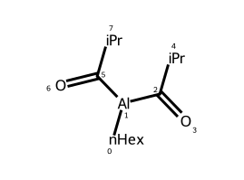 CCCCC[CH2][Al]([C](=O)C(C)C)[C](=O)C(C)C